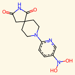 O=C1CC2(CCN(c3ccc(N(O)O)cn3)CC2)C(=O)N1